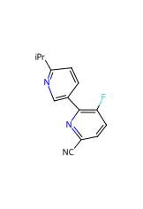 CC(C)c1ccc(-c2nc(C#N)ccc2F)cn1